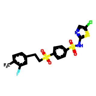 O=S(=O)(CCc1ccc(C(F)(F)F)c(F)c1)c1ccc(S(=O)(=O)Nc2ncc(Cl)s2)cc1